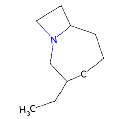 CCC1CCCC2CCN2C1